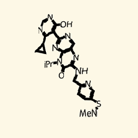 CNSc1ccc(CNc2nc3cnc(-c4c(O)ncnc4C4CC4)nc3n(C(C)C)c2=O)nc1